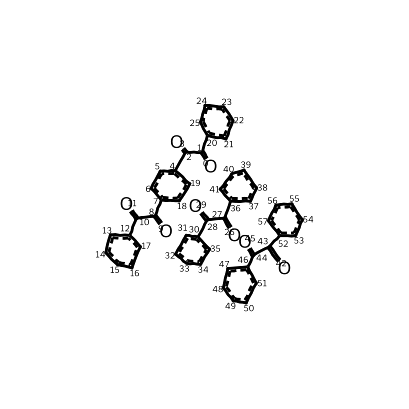 O=C(C(=O)c1ccc(C(=O)C(=O)c2ccccc2)cc1)c1ccccc1.O=C(C(=O)c1ccccc1)c1ccccc1.O=C(C(=O)c1ccccc1)c1ccccc1